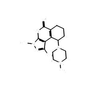 Cc1nn(C)c2[nH]c(=O)c3c(c12)C(N1CCN(C)CC1)CCC3